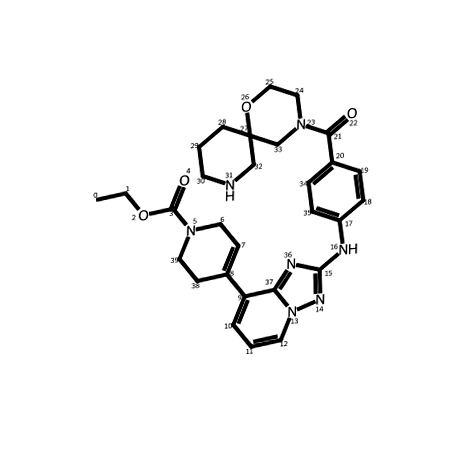 CCOC(=O)N1CC=C(c2cccn3nc(Nc4ccc(C(=O)N5CCOC6(CCCNC6)C5)cc4)nc23)CC1